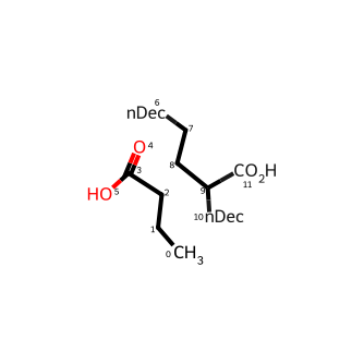 CCCC(=O)O.CCCCCCCCCCCCC(CCCCCCCCCC)C(=O)O